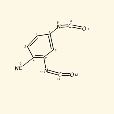 N#Cc1ccc(N=C=O)cc1N=C=O